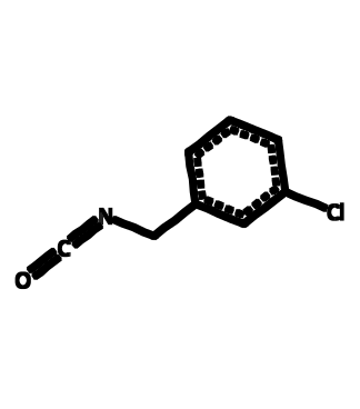 O=C=NCc1cccc(Cl)c1